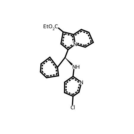 CCOC(=O)c1cc([C@@H](Nc2ccc(Cl)cn2)c2ccccc2)n2ccccc12